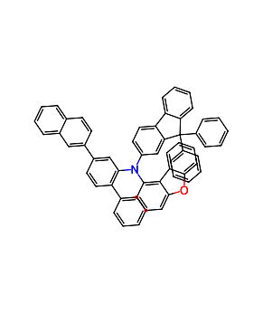 c1ccc(-c2ccc(-c3ccc4ccccc4c3)cc2N(c2ccc3c(c2)C(c2ccccc2)(c2ccccc2)c2ccccc2-3)c2cccc3oc4ccccc4c23)cc1